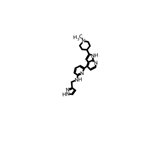 CN1CCC(c2cc3c(-c4cccc(NCc5cc[nH]n5)n4)ccnc3[nH]2)CC1